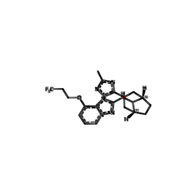 Cc1nsc(N2C[C@H]3CC[C@@H](C2)C3Nc2nc3c(OCCC(F)(F)F)cccn3n2)n1